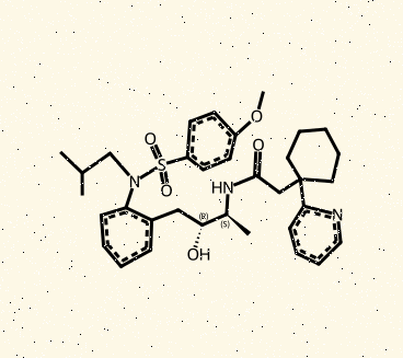 COc1ccc(S(=O)(=O)N(CC(C)C)c2ccccc2C[C@@H](O)[C@H](C)NC(=O)CC2(c3ccccn3)CCCCC2)cc1